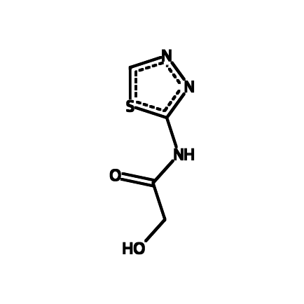 O=C(CO)Nc1nncs1